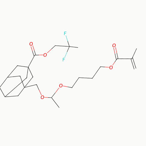 C=C(C)C(=O)OCCCCOC(C)OCC12CC3CC(C1)CC(C(=O)OCC(C)(F)F)(C3)C2